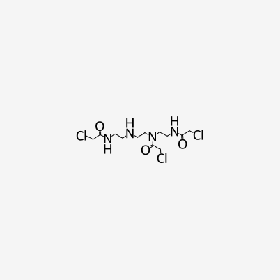 O=C(CCl)NCCNCCN(CCNC(=O)CCl)C(=O)CCl